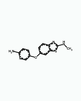 CNc1nc2ccc(Oc3ccc(N)nc3)cc2s1